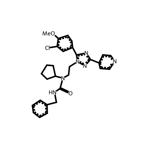 COc1ccc(-c2nc(-c3ccncc3)nn2CCN(C(=O)NCc2ccccc2)C2CCCC2)cc1Cl